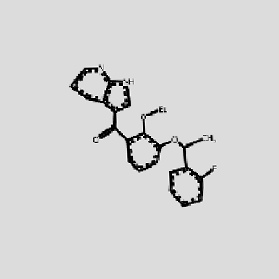 CCOc1c(OC(C)c2ccccc2F)cccc1C(=O)c1c[nH]c2ncccc12